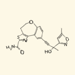 Cc1cc(C(C)(O)C#Cc2ccc3c(c2)-c2nc(C(N)=O)sc2CCO3)no1